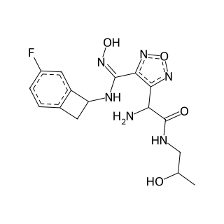 CC(O)CNC(=O)C(N)c1nonc1/C(=N\O)NC1Cc2ccc(F)cc21